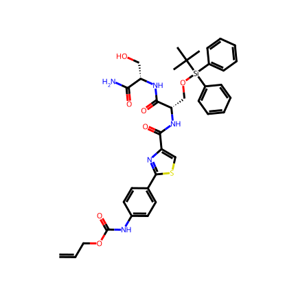 C=CCOC(=O)Nc1ccc(-c2nc(C(=O)N[C@@H](CO[Si](c3ccccc3)(c3ccccc3)C(C)(C)C)C(=O)N[C@@H](CO)C(N)=O)cs2)cc1